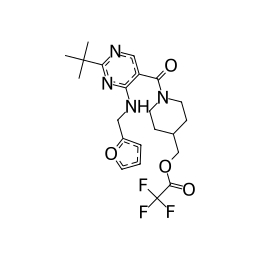 CC(C)(C)c1ncc(C(=O)N2CCC(COC(=O)C(F)(F)F)CC2)c(NCc2ccco2)n1